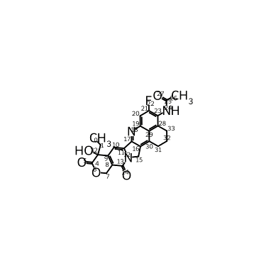 CCC1(O)C(=O)OCc2c1cc1n(c2=O)Cc2c-1nc1cc(F)c(NC(C)=O)c3c1c2CCC3